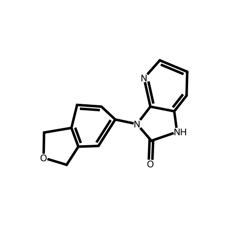 O=c1[nH]c2cccnc2n1-c1ccc2c(c1)COC2